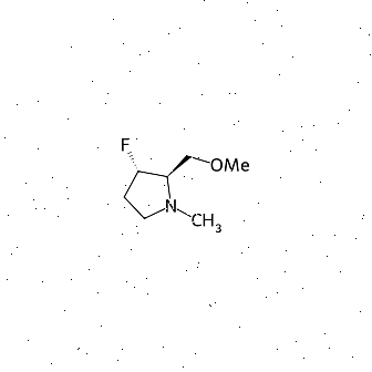 COC[C@@H]1[C@@H](F)CCN1C